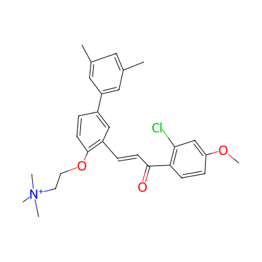 COc1ccc(C(=O)C=Cc2cc(-c3cc(C)cc(C)c3)ccc2OCC[N+](C)(C)C)c(Cl)c1